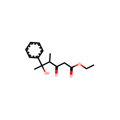 CCOC(=O)CC(=O)C(C)C(C)(O)c1ccccc1